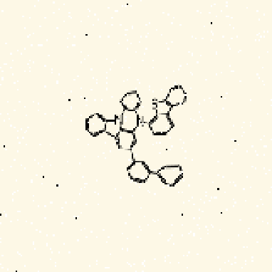 C1=Cc2sc3c(N4c5ccccc5-n5c6ccccc6c6cc(-c7cccc(-c8ccccc8)c7)cc4c65)cccc3c2CC1